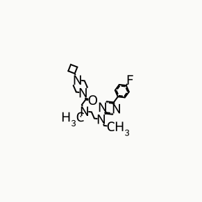 CCN(CCN(C)CC(=O)N1CCN(C2CCC2)CC1)c1cnc(-c2ccc(F)cc2)cn1